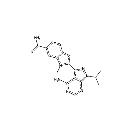 CC(C)n1nc(-c2cc3ccc(C(N)=O)cc3n2C)c2c(N)ncnc21